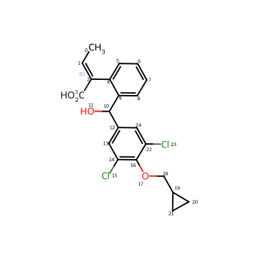 C/C=C(/C(=O)O)c1ccccc1C(O)c1cc(Cl)c(OCC2CC2)c(Cl)c1